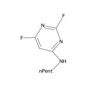 CCCCCNc1cc(F)nc(F)n1